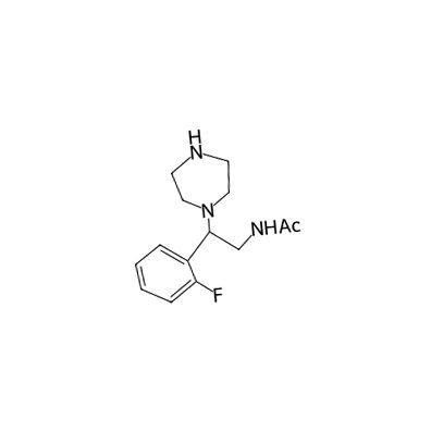 CC(=O)NCC(c1ccccc1F)N1CCNCC1